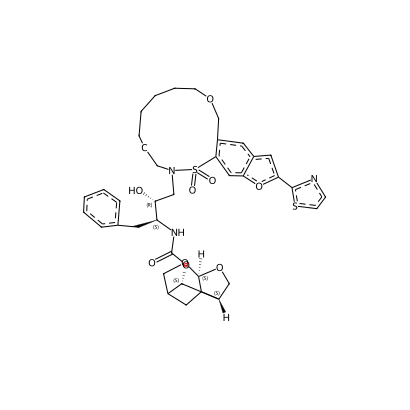 O=C(N[C@@H](Cc1ccccc1)[C@H](O)CN1CCCCCCCOCc2cc3cc(-c4nccs4)oc3cc2S1(=O)=O)O[C@H]1C2CO[C@H]3OC[C@@H]1C3C2